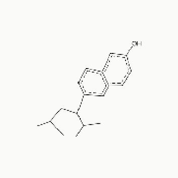 CC(C)CC(c1ccc2cc(O)ccc2c1)C(C)C